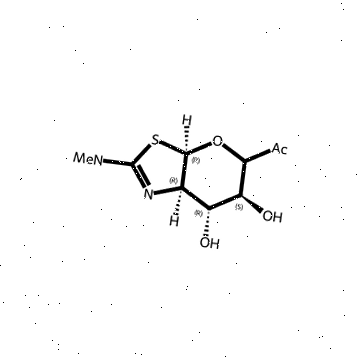 CNC1=N[C@@H]2[C@@H](O)[C@H](O)C(C(C)=O)O[C@@H]2S1